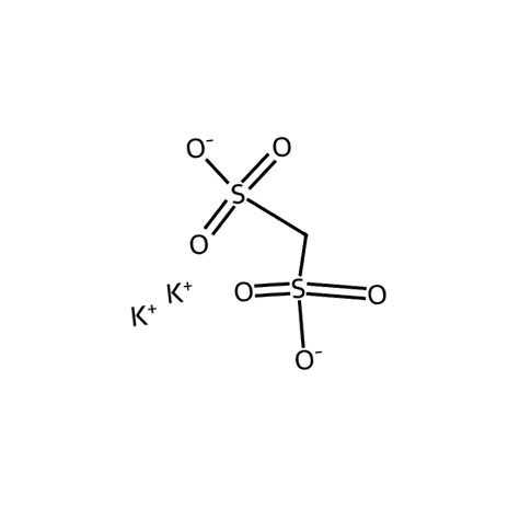 O=S(=O)([O-])CS(=O)(=O)[O-].[K+].[K+]